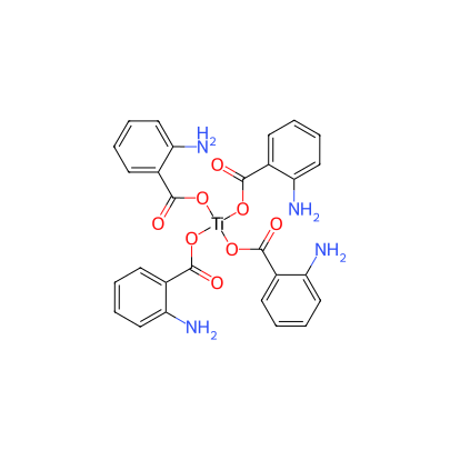 Nc1ccccc1C(=O)[O][Ti]([O]C(=O)c1ccccc1N)([O]C(=O)c1ccccc1N)[O]C(=O)c1ccccc1N